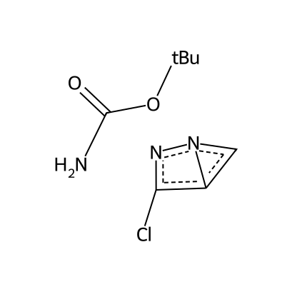 CC(C)(C)OC(N)=O.Clc1nn2cc1-2